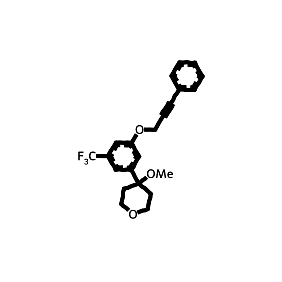 COC1(c2cc(OCC#Cc3ccccc3)cc(C(F)(F)F)c2)CCOCC1